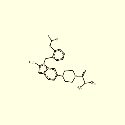 Cc1nc2ccc(C3CCN(C(=O)C(C)C)CC3)cc2n1Cc1ccccc1OC(F)F